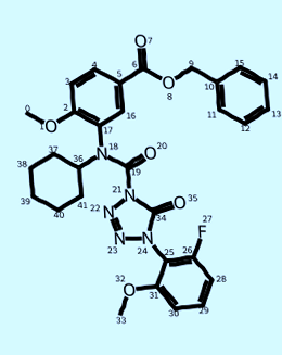 COc1ccc(C(=O)OCc2ccccc2)cc1N(C(=O)n1nnn(-c2c(F)cccc2OC)c1=O)C1CCCCC1